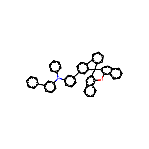 c1ccc(-c2cccc(N(c3ccccc3)c3cccc(-c4ccc5c(c4)C4(c6ccccc6-5)c5ccc6ccccc6c5Oc5c4ccc4ccccc54)c3)c2)cc1